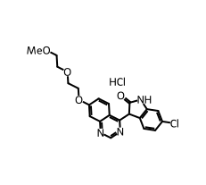 COCCOCCOc1ccc2c(C3C(=O)Nc4cc(Cl)ccc43)ncnc2c1.Cl